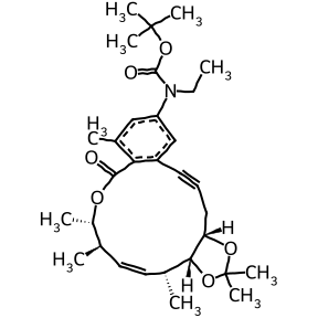 CCN(C(=O)OC(C)(C)C)c1cc(C)c2c(c1)C#CC[C@@H]1OC(C)(C)O[C@@H]1[C@H](C)/C=C\[C@@H](C)[C@H](C)OC2=O